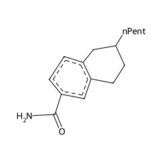 CCCCCC1CCc2cc(C(N)=O)ccc2C1